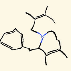 CC(C)=C(C)CN1CCC(C)=C(C)C1Cc1ccccc1